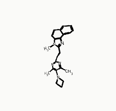 Cc1nc(CCc2nc3c4ccccc4ccc3n2C)nc(C)c1N1CCC1